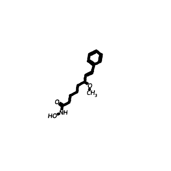 COC(C=Cc1ccccc1)CCCCC(=O)NO